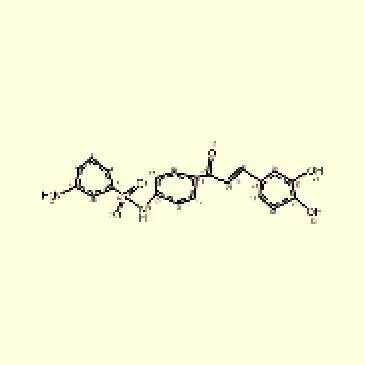 Nc1cccc(S(=O)(=O)Nc2ccc(C(=O)/C=C/c3ccc(O)c(O)c3)cc2)c1